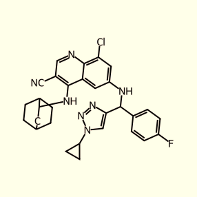 N#Cc1cnc2c(Cl)cc(NC(c3ccc(F)cc3)c3cn(C4CC4)nn3)cc2c1NC1CC2CCC1CC2